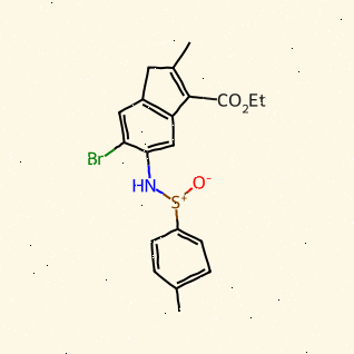 CCOC(=O)C1=C(C)Cc2cc(Br)c(N[S+]([O-])c3ccc(C)cc3)cc21